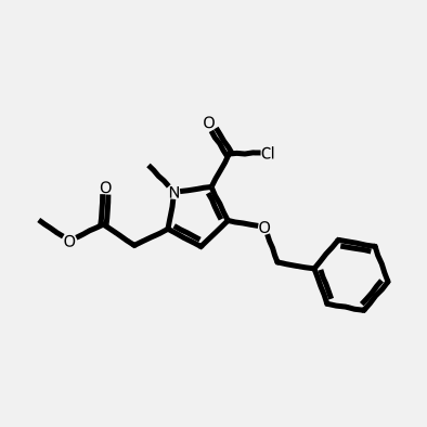 COC(=O)Cc1cc(OCc2ccccc2)c(C(=O)Cl)n1C